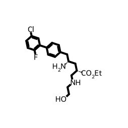 CCOC(=O)[C@H](CNCCO)C[C@H](N)Cc1ccc(-c2cc(Cl)ccc2F)cc1